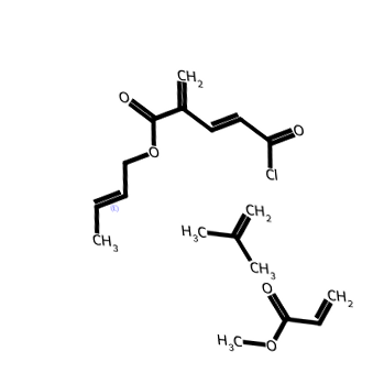 C=C(C)C.C=C(C=CC(=O)Cl)C(=O)OC/C=C/C.C=CC(=O)OC